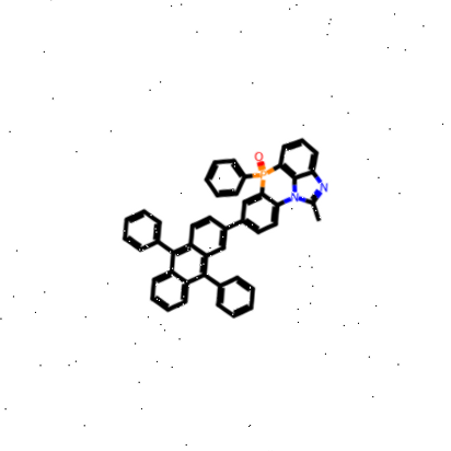 Cc1nc2cccc3c2n1-c1ccc(-c2ccc4c(-c5ccccc5)c5ccccc5c(-c5ccccc5)c4c2)cc1P3(=O)c1ccccc1